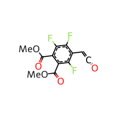 COC(=O)c1c(F)c(F)c(C=C=O)c(F)c1C(=O)OC